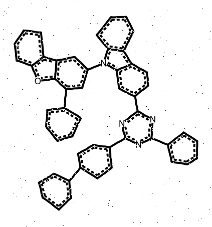 c1ccc(-c2ccc(-c3nc(-c4ccccc4)nc(-c4ccc5c6ccccc6n(-c6cc(-c7ccccc7)c7oc8ccccc8c7c6)c5c4)n3)cc2)cc1